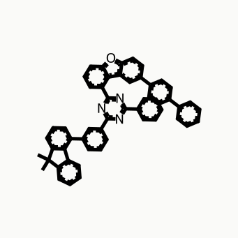 CC1(C)c2ccccc2-c2c(-c3cccc(-c4nc(-c5ccccc5)nc(-c5cccc6oc7ccc(-c8ccc(-c9ccccc9)cc8)cc7c56)n4)c3)cccc21